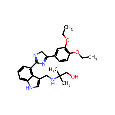 CCOc1ccc(C2=NC(c3cccc4[nH]cc(CNC(C)(C)CO)c34)=NC2)cc1OCC